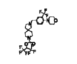 O=C(OC(C(F)(F)F)C(F)(F)F)N1CCC2(CCN(Cc3ccc(N4CCOCC4)c(C(F)(F)F)c3)C2)CC1